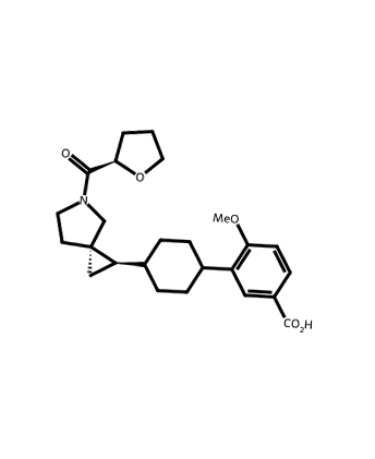 COc1ccc(C(=O)O)cc1C1CCC([C@H]2C[C@@]23CCN(C(=O)[C@H]2CCCO2)C3)CC1